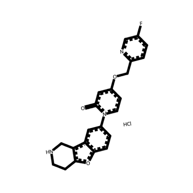 Cl.O=c1cc(OCc2ccc(F)cn2)ccn1-c1ccc2oc3c(c2c1)CNCC3